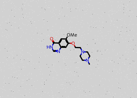 COc1cc2c(=O)[nH]cnc2cc1OCCN1CCN(C)CC1